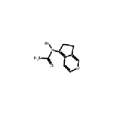 CC(C)N(C(N)=O)C1=C2C=COC=C2CC1